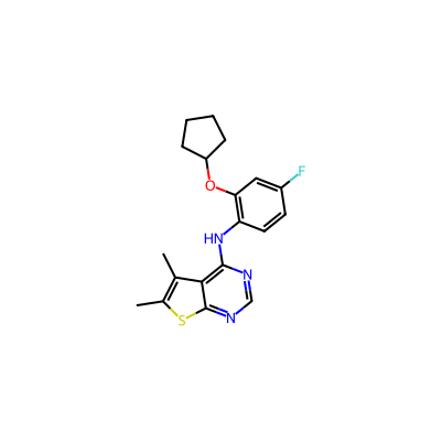 Cc1sc2ncnc(Nc3ccc(F)cc3OC3CCCC3)c2c1C